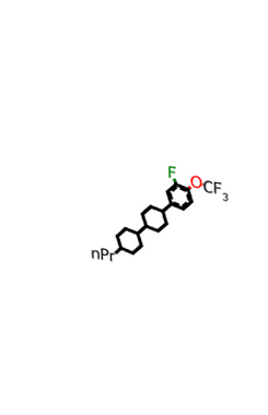 CCCC1CCC(C2CCC(c3ccc(OC(F)(F)F)c(F)c3)CC2)CC1